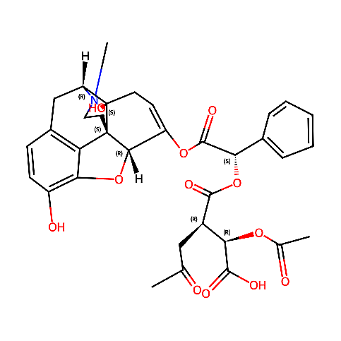 CC(=O)C[C@@H](C(=O)O[C@H](C(=O)OC1=CC[C@@]2(O)[C@H]3Cc4ccc(O)c5c4[C@@]2(CCN3C)[C@H]1O5)c1ccccc1)[C@@H](OC(C)=O)C(=O)O